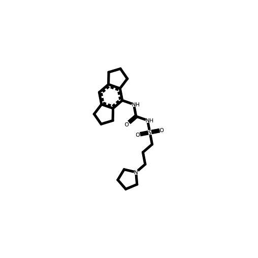 O=C(Nc1c2c(cc3c1CCC3)CCC2)NS(=O)(=O)CCCN1CCCC1